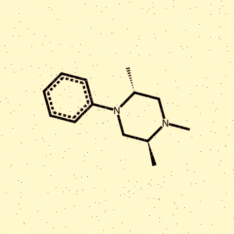 C[C@@H]1CN(C)[C@@H](C)CN1c1ccccc1